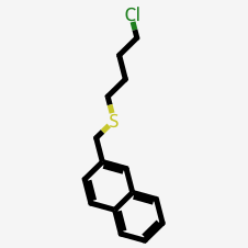 ClCCCCSCc1ccc2ccccc2c1